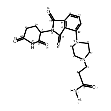 CCNC(=O)CCN1CCN(c2cccc3c2C(=O)N(C2CCC(=O)NC2=O)C3=O)CC1